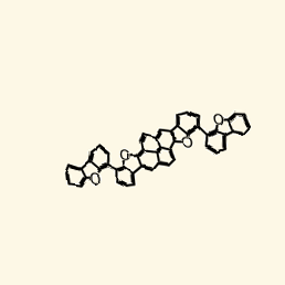 c1ccc2c(c1)oc1c(-c3cccc4c3oc3c4cc4ccc5c6oc7c(-c8cccc9c8oc8ccccc89)cccc7c6cc6ccc3c4c65)cccc12